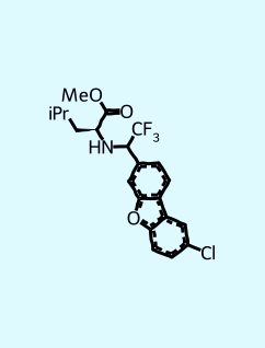 COC(=O)[C@H](CC(C)C)NC(c1ccc2c(c1)oc1ccc(Cl)cc12)C(F)(F)F